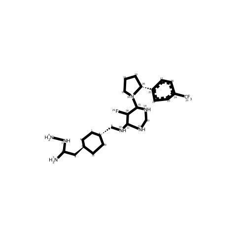 NNC(N)C[C@H]1CC[C@H](CNC2NCNC(N3CCC[C@@H]3c3ccc(C(F)(F)F)cc3)C2F)CC1